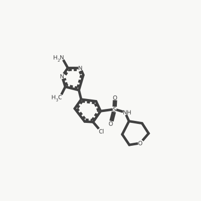 Cc1nc(N)ncc1-c1ccc(Cl)c(S(=O)(=O)NC2CCOCC2)c1